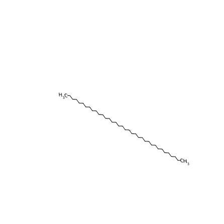 CCCCCCCCCCCCCCCC[CH]CCCCCCCCCCCCCCCCCCC